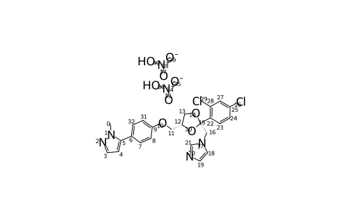 Cn1nccc1-c1ccc(OC[C@@H]2CO[C@@](Cn3ccnc3)(c3ccc(Cl)cc3Cl)O2)cc1.O=[N+]([O-])O.O=[N+]([O-])O